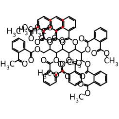 COC(=O)c1ccccc1C(=O)OCC(OC(=O)c1ccccc1C(=O)OC)C(OC(=O)c1ccccc1C(=O)OC)C(OC(=O)c1ccccc1C(=O)OC)C(OC(=O)c1ccccc1C(=O)OC)C(OC(=O)c1ccccc1C(=O)OC)C(COC(=O)c1ccccc1C(C)=O)OC(=O)c1ccccc1C(=O)OC